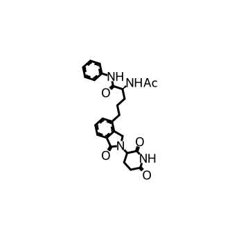 CC(=O)N[C@@H](CCCc1cccc2c1CN(C1CCC(=O)NC1=O)C2=O)C(=O)Nc1ccccc1